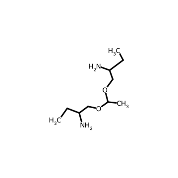 CCC(N)COC(C)OCC(N)CC